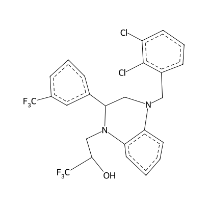 OC(CN1c2ccccc2N(Cc2cccc(Cl)c2Cl)CC1c1cccc(C(F)(F)F)c1)C(F)(F)F